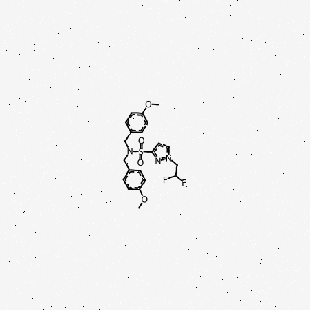 COc1ccc(CN(Cc2ccc(OC)cc2)S(=O)(=O)c2ccn(CC(F)F)n2)cc1